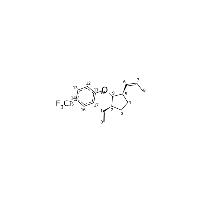 C=C[C@@H]1CC[C@H](/C=C\C)[C@H]1Oc1ccc(C(F)(F)F)cc1